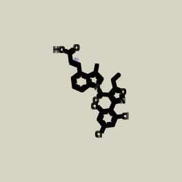 CCc1onc(-c2c(Cl)cc(Cl)cc2Cl)c1C(=O)n1cc(C)c2c(/C=C/C(=O)O)cccc21